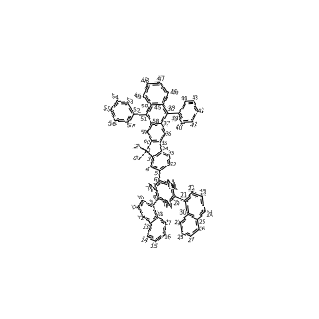 CC1(C)c2cc(-c3nc(-c4cccc5ccccc45)nc(-c4cccc5ccccc45)n3)ccc2-c2cc3c(-c4ccccc4)c4ccccc4c(-c4ccccc4)c3cc21